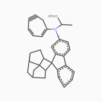 CCCCCC(C)N(C1=CC=CC#CC1)c1ccc2c(c1)C1(c3ccccc3-2)C2CC3CC4CC1C2(C3)C4